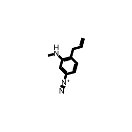 C=CCc1ccc([N+]#N)cc1NC